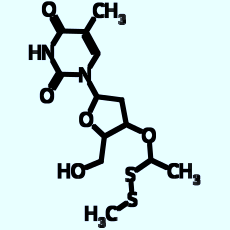 CSSC(C)OC1CC(n2cc(C)c(=O)[nH]c2=O)OC1CO